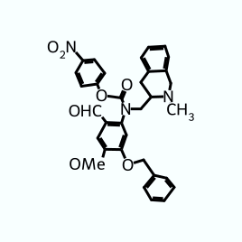 COc1cc(C=O)c(N(CC2Cc3ccccc3CN2C)C(=O)Oc2ccc([N+](=O)[O-])cc2)cc1OCc1ccccc1